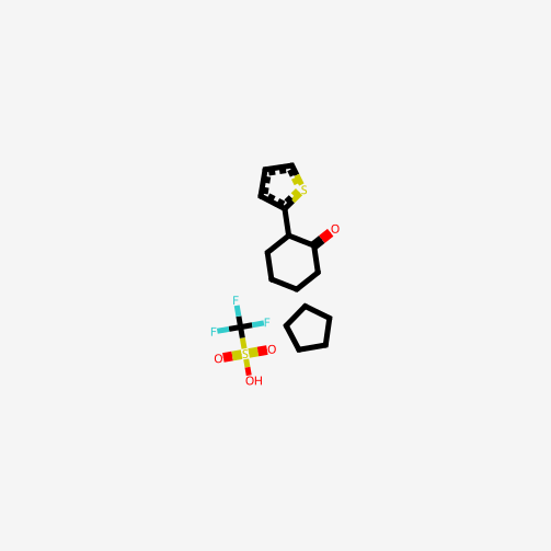 C1CCCC1.O=C1CCCCC1c1cccs1.O=S(=O)(O)C(F)(F)F